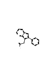 O=C(O)Cc1c(-c2ccccc2)cc2cccoc1-2